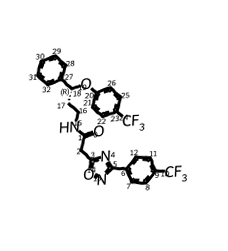 O=C(Cc1nc(-c2ccc(C(F)(F)F)cc2)no1)NCC[C@@H](Oc1ccc(C(F)(F)F)cc1)c1ccccc1